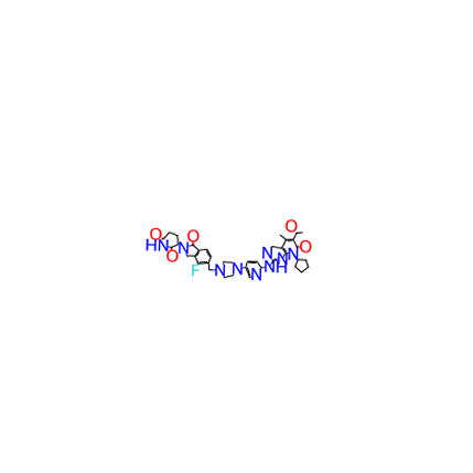 CC(=O)c1c(C)c2cnc(Nc3ccc(N4CCN(Cc5ccc6c(c5F)CN(C5CCC(=O)NC5=O)C6=O)CC4)cn3)nc2n(C2CCCC2)c1=O